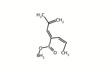 BOS(=O)C(/C=C\C)=C/C(=C)C